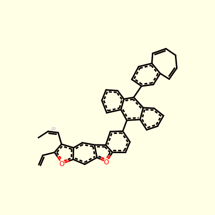 C=Cc1oc2cc3oc4ccc(-c5c6ccccc6c(-c6ccc7c(c6)C=CCC=C7)c6ccccc56)cc4c3cc2c1/C=C\C